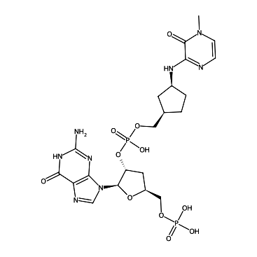 Cn1ccnc(N[C@H]2CC[C@@H](COP(=O)(O)O[C@@H]3C[C@@H](COP(=O)(O)O)O[C@H]3n3cnc4c(=O)[nH]c(N)nc43)C2)c1=O